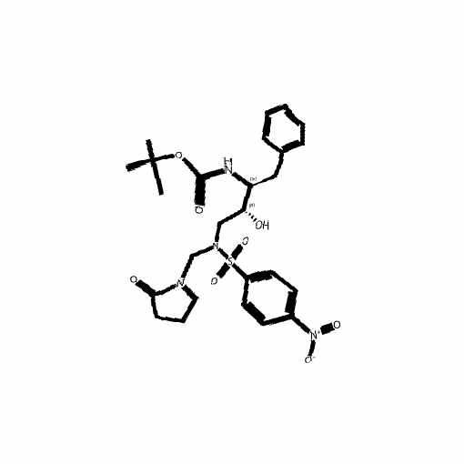 CC(C)(C)OC(=O)N[C@@H](Cc1ccccc1)[C@H](O)CN(CN1CCCC1=O)S(=O)(=O)c1ccc([N+](=O)[O-])cc1